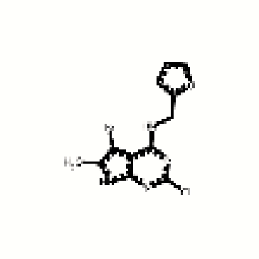 Cc1[nH]c2nc(Cl)nc(NCc3ccco3)c2c1Br